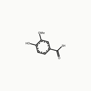 COc1cc(C(=O)S)ccc1O